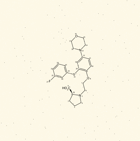 O=C(O)[C@@H]1CCCN1CCOc1ccc(N2CCOCC2)cc1Sc1cccc(F)c1